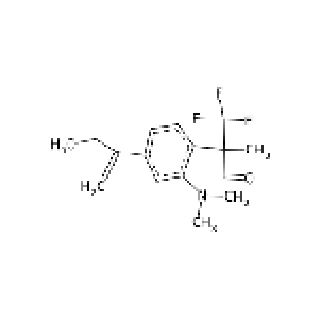 C=C(CC)c1ccc(C(C)(C=O)C(F)(F)F)c(N(C)C)c1